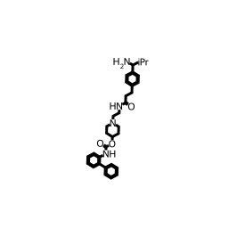 CC(C)C(N)c1ccc(CCC(=O)NCCN2CCC(OC(=O)Nc3ccccc3-c3ccccc3)CC2)cc1